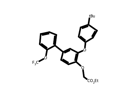 CCOC(=O)COc1ccc(-c2ccccc2OC(F)(F)F)cc1Oc1ccc(C(C)(C)C)cc1